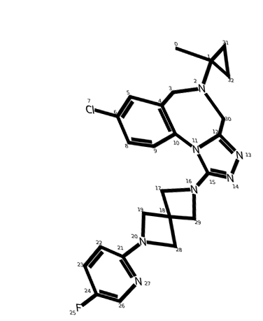 CC1(N2Cc3cc(Cl)ccc3-n3c(nnc3N3CC4(CN(c5ccc(F)cn5)C4)C3)C2)CC1